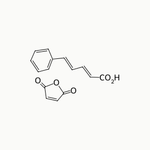 O=C(O)C=CC=Cc1ccccc1.O=C1C=CC(=O)O1